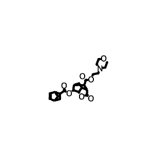 O=C(OC1C2CC3C1OC(=O)C3C2C(=O)OCCN1CCOCC1)C1CC2C=CC1C2